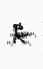 CC/C1=C/c2ccccc2N(C(=O)CCC(=O)N[C@@H](CCCCN)C(=O)N[C@@H](CCCCN)C(=O)N[C@@H](CCCCN)C(N)=O)Cc2ccccc21